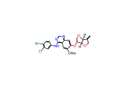 C=C1CO[C@@H]2[C@@H](Oc3cc4ncnc(Nc5ccc(Br)c(Cl)c5)c4cc3OC)CO[C@H]12